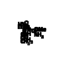 CC[C@@H](NC1CCCCC1)C(=O)N1CCN(C(=O)Oc2ccc(C)c(C)c2Cl)C[C@H]1C(=O)NCc1ccc(CN)c(OC)c1